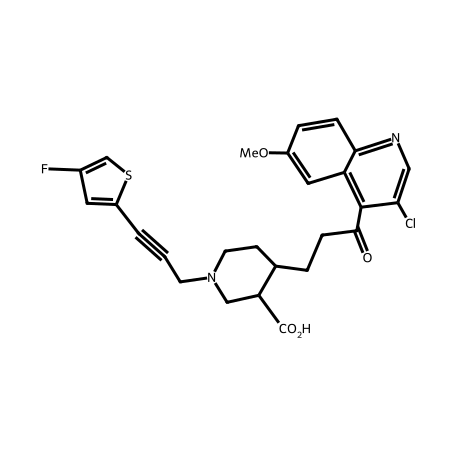 COc1ccc2ncc(Cl)c(C(=O)CCC3CCN(CC#Cc4cc(F)cs4)CC3C(=O)O)c2c1